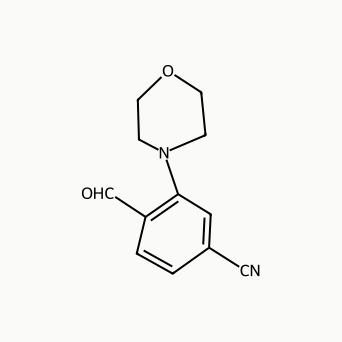 N#Cc1ccc(C=O)c(N2CCOCC2)c1